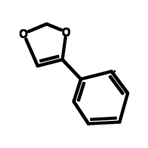 [c]1ccccc1C1=COCO1